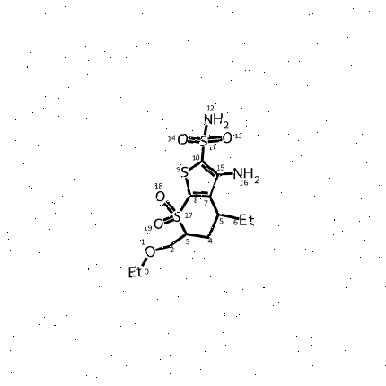 CCOCC1CC(CC)c2c(sc(S(N)(=O)=O)c2N)S1(=O)=O